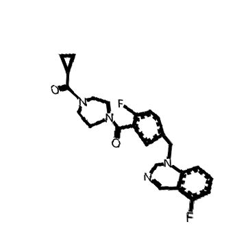 O=C(c1cc(CN2CN=Cc3c(F)cccc32)ccc1F)N1CCN(C(=O)C2CC2)CC1